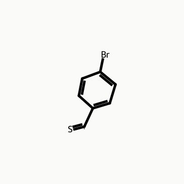 S=[C]c1ccc(Br)cc1